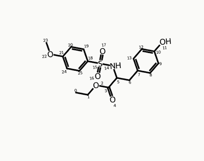 CCOC(=O)C(Cc1ccc(O)cc1)NS(=O)(=O)c1ccc(OC)cc1